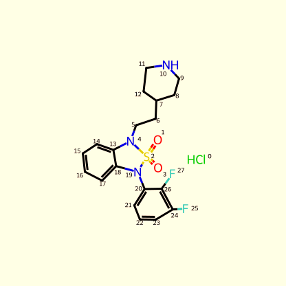 Cl.O=S1(=O)N(CCC2CCNCC2)c2ccccc2N1c1cccc(F)c1F